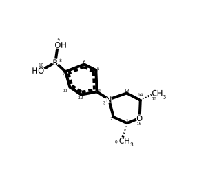 C[C@@H]1CN(c2ccc(B(O)O)cc2)C[C@H](C)O1